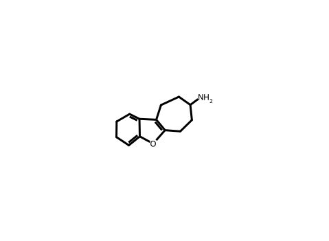 NC1CCc2oc3c(c2CC1)=CCCC=3